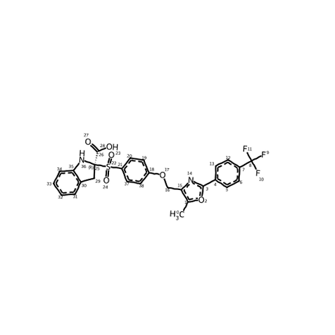 Cc1oc(-c2ccc(C(F)(F)F)cc2)nc1COc1ccc(S(=O)(=O)[C@@]2(C(=O)O)Cc3ccccc3N2)cc1